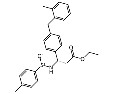 CCOC(=O)C[C@H](N[S@+]([O-])c1ccc(C)cc1)c1ccc(Cc2ccccc2C)cc1